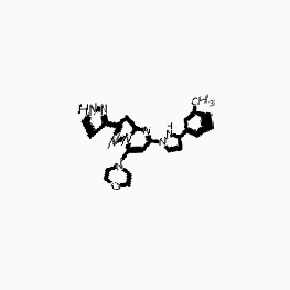 Cc1cccc(C2C=CN(c3cc(N4CCOCC4)n4nc(-c5cc[nH]n5)cc4n3)N2)c1